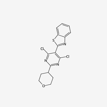 Clc1nc(C2CCOCC2)nc(Cl)c1-c1nc2ccccc2s1